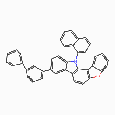 c1ccc(-c2cccc(-c3ccc4c(c3)c3ccc5oc6ccccc6c5c3n4-c3cccc4ccccc34)c2)cc1